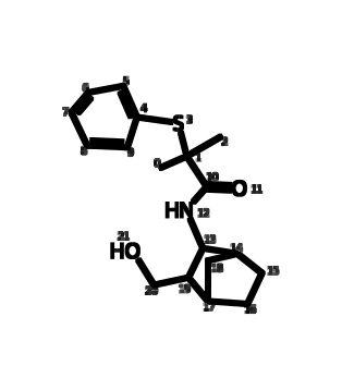 CC(C)(Sc1ccccc1)C(=O)NC1C2CCC(C2)C1CO